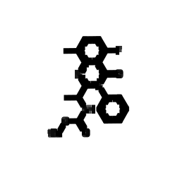 Cc1ccc(F)c2c(=O)n(-c3ccccc3)c(C(C)NC(=O)OC(C)(C)C)nc12